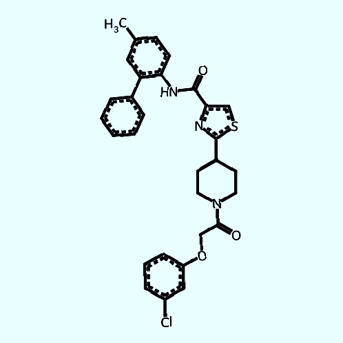 Cc1ccc(NC(=O)c2csc(C3CCN(C(=O)COc4cccc(Cl)c4)CC3)n2)c(-c2ccccc2)c1